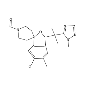 Cc1cc2c(cc1Cl)C1(CCN(C=O)CC1)OC2C(C)(C)c1ncnn1C